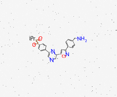 CC(C)S(=O)(=O)c1ccc(-c2cn[c]c(-c3cc(-c4ccc(CN)cc4)no3)n2)cc1